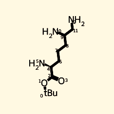 CC(C)(C)OC(=O)[C@@H](N)CCCC(N)CN